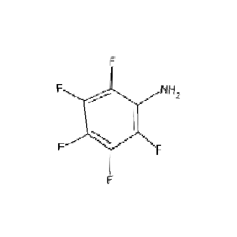 Nc1c(F)c(F)c(F)c(F)c1F